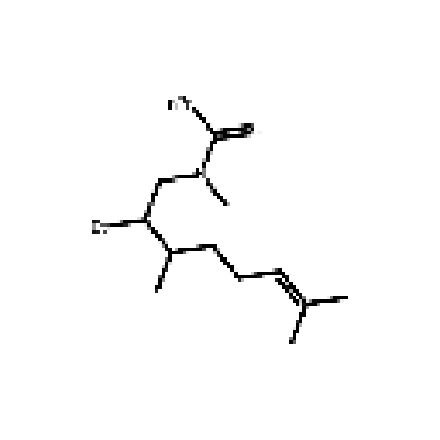 CCCC(=O)N(C)CC(CC)C(C)CCC=C(C)C